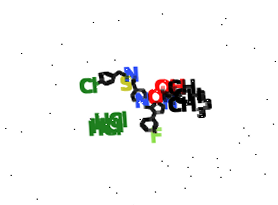 CC(C)[C@H](C(=O)O)N(C)C1CC(CN2CCC(c3cnc(Cc4ccc(Cl)cc4)s3)CC2)C(c2cccc(F)c2)C1.Cl.Cl.Cl